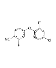 N#Cc1ccc(Oc2ncc(Cl)cc2F)cc1F